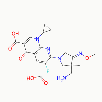 CO/N=C1/CN(c2nc3c(cc2F)c(=O)c(C(=O)O)cn3C2CC2)CC1(C)CN.O=CO